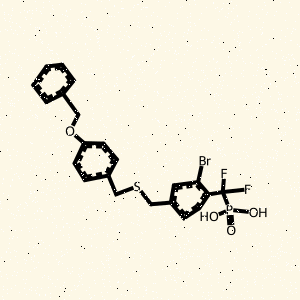 O=P(O)(O)C(F)(F)c1ccc(CSCc2ccc(OCc3ccccc3)cc2)cc1Br